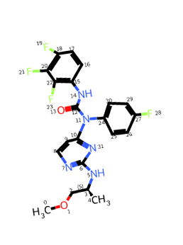 COC[C@H](C)Nc1nccc(N(C(=O)Nc2ccc(F)c(F)c2F)c2ccc(F)cc2)n1